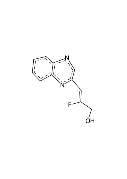 OCC(F)=Cc1cnc2ccccc2n1